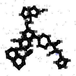 C#Cc1cccc2cccc(-c3ncc4c(N5CCN(C(=O)/C(F)=C/c6ncco6)CC5)nc(OC[C@@]56CCCN5C[C@H](F)C6)nc4c3F)c12